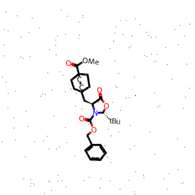 COC(=O)C12CCC(C[C@H]3C(=O)O[C@H](C(C)(C)C)N3C(=O)OCc3ccccc3)(CC1)CC2